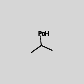 C[CH](C)[PoH]